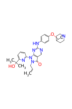 C=CCn1c(=O)c2cnc(Nc3ccc(OC4CN5CCC4CC5)cc3)nc2n1-c1cccc(C(C)(C)O)n1